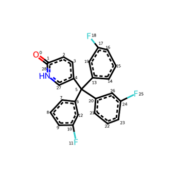 O=c1ccc(C(c2cccc(F)c2)(c2cccc(F)c2)c2cccc(F)c2)c[nH]1